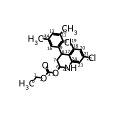 CCOC(=O)OC1CC(c2cc(C)cc(C)c2)c2c(Cl)cc(Cl)cc2N1